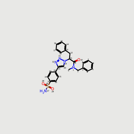 CN(Cc1ccccc1)C(=O)C(Cc1ccccc1)n1cc(-c2ccc(S(N)(=O)=O)cc2)nn1